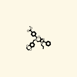 CCCn1c(-c2ccccc2)nc(Cl)c1CN(Cc1ccc(C(=O)OC)cc1)Cc1ccc2c(c1)OCCO2